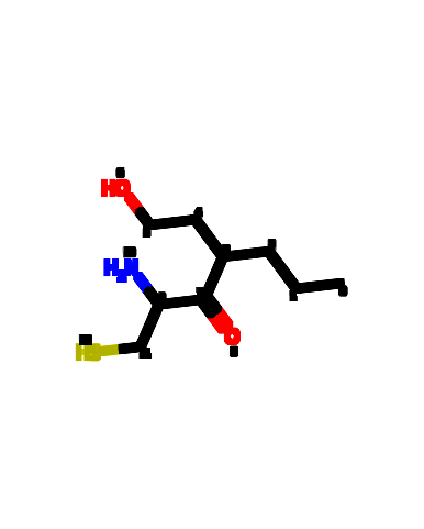 CCCC(CCO)C(=O)C(N)CS